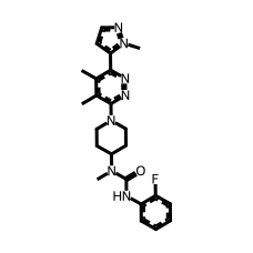 Cc1c(-c2ccnn2C)nnc(N2CCC(N(C)C(=O)Nc3ccccc3F)CC2)c1C